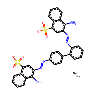 Nc1c(N=Nc2ccc(-c3ccccc3N=Nc3cc(S(=O)(=O)[O-])c4ccccc4c3N)cc2)cc(S(=O)(=O)[O-])c2ccccc12.[Na+].[Na+]